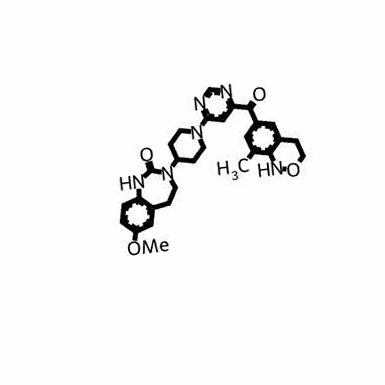 COc1ccc2c(c1)CCN(C1CCN(c3cc(C(=O)c4cc(C)c5c(c4)CCON5)ncn3)CC1)C(=O)N2